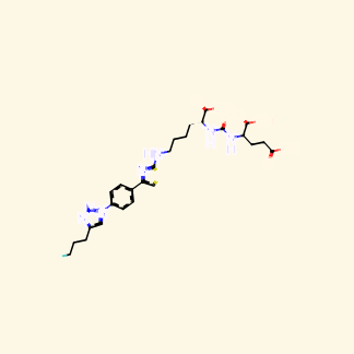 O=C(O)CCC(NC(=O)N[C@@H](CCCCNc1nc(-c2ccc(-n3cc(CCCF)nn3)cc2)cs1)C(=O)O)C(=O)O